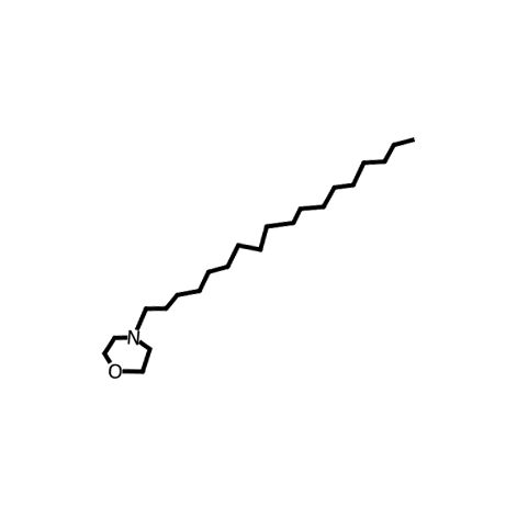 CCCCCCCCCCCCCCCCCCN1CCOCC1